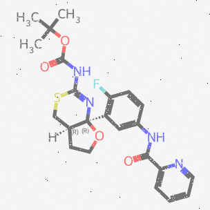 CC(C)(C)OC(=O)NC1=N[C@@]2(c3cc(NC(=O)c4ccccn4)ccc3F)OCC[C@H]2CS1